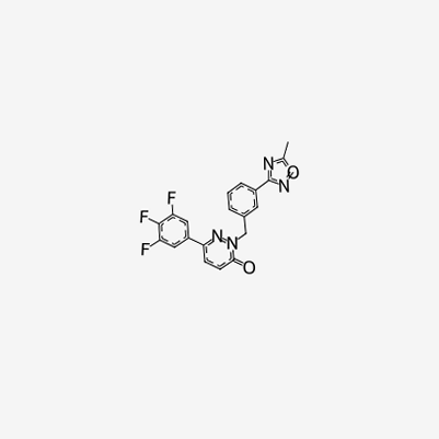 Cc1nc(-c2cccc(Cn3nc(-c4cc(F)c(F)c(F)c4)ccc3=O)c2)no1